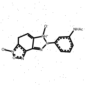 CC(=O)Nc1cccc(N2N=C3C(=CCc4c3no[n+]4[O-])[NH+]2[O-])c1